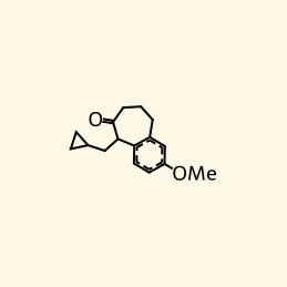 COc1ccc2c(c1)CCCC(=O)C2CC1CC1